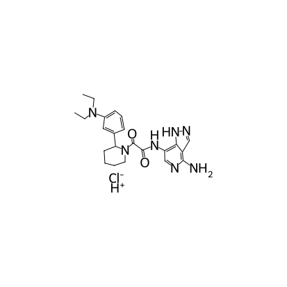 CCN(CC)c1cccc(C2CCCCN2C(=O)C(=O)Nc2cnc(N)c3cn[nH]c23)c1.[Cl-].[H+]